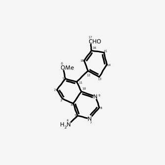 COc1ccc2c(N)ncnc2c1-c1cccc(C=O)c1